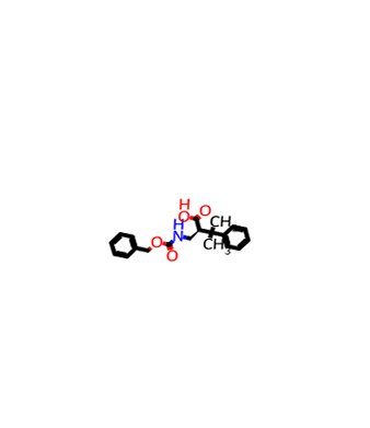 CC(C)(c1ccccc1)[C@@H](CNC(=O)OCc1ccccc1)C(=O)O